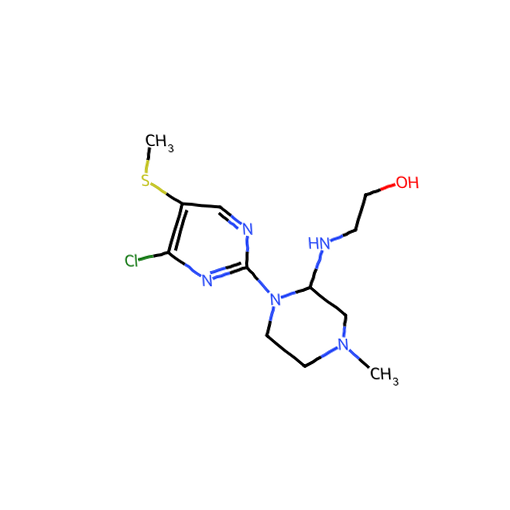 CSc1cnc(N2CCN(C)CC2NCCO)nc1Cl